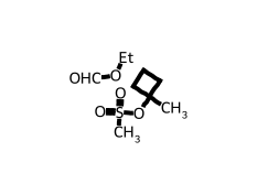 CC1(OS(C)(=O)=O)CCC1.CCOC=O